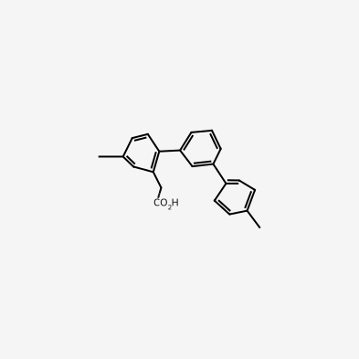 Cc1ccc(-c2cccc(-c3ccc(C)cc3CC(=O)O)c2)cc1